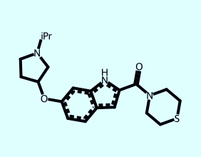 CC(C)N1CCC(Oc2ccc3cc(C(=O)N4CCSCC4)[nH]c3c2)C1